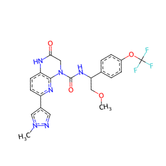 COCC(NC(=O)N1CC(=O)Nc2ccc(-c3cnn(C)c3)nc21)c1ccc(OC(F)(F)F)cc1